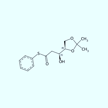 CC1(C)OC[C@H]([C@@H](O)CC(=O)Sc2ccccc2)O1